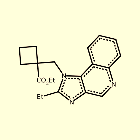 CCOC(=O)C1(Cn2c(CC)nc3cnc4ccccc4c32)CCC1